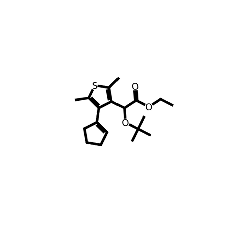 CCOC(=O)C(OC(C)(C)C)c1c(C)sc(C)c1C1=CCCC1